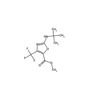 COC(=O)c1oc(NC(C)(C)C)nc1C(F)(F)F